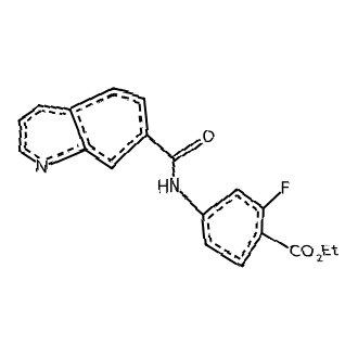 CCOC(=O)c1ccc(NC(=O)c2ccc3cccnc3c2)cc1F